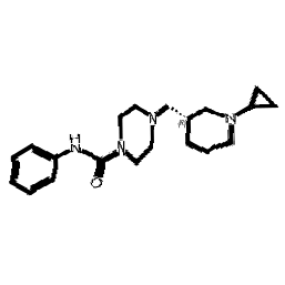 O=C(Nc1ccccc1)N1CCN(C[C@H]2CCCN(C3CC3)C2)CC1